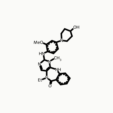 CCN1C(=O)c2ccccc2NC2=C1C=NC(Nc1ccc(N3CCC(O)CC3)cc1OC)N2C